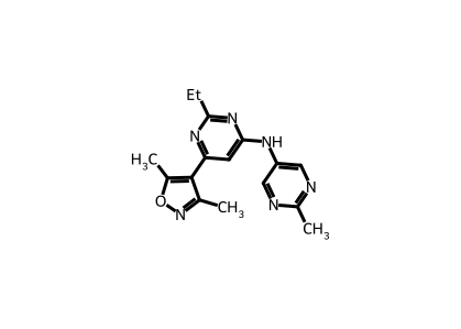 CCc1nc(Nc2cnc(C)nc2)cc(-c2c(C)noc2C)n1